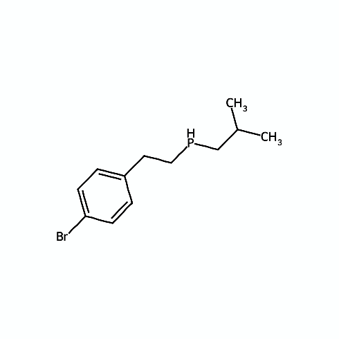 CC(C)CPCCc1ccc(Br)cc1